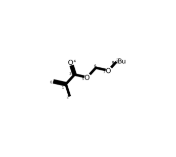 C=C(C)C(=O)OCOC(C)CC